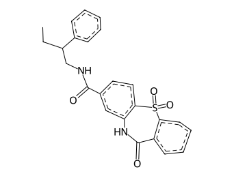 CCC(CNC(=O)c1ccc2c(c1)NC(=O)c1ccccc1S2(=O)=O)c1ccccc1